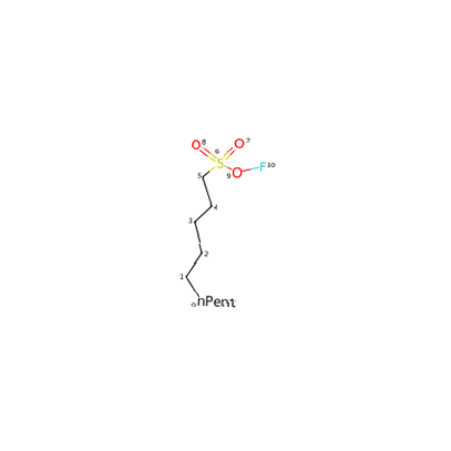 CCCCCCCCCCS(=O)(=O)OF